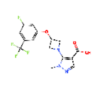 Cn1ncc(C(=O)O)c1N1CC(Oc2cc(F)cc(C(F)(F)F)c2)C1